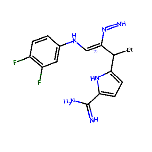 CCC(/C(=C/Nc1ccc(F)c(F)c1)N=N)c1ccc(C(=N)N)[nH]1